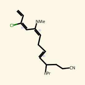 C=C/C(Cl)=C\C(=C/C/C=C/C(CCC)CCC#N)NC